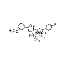 COc1cccc(C(=O)/N=C(\NC2CC(c3ccc(F)cc3)NN2)NC(C)(C)C)c1